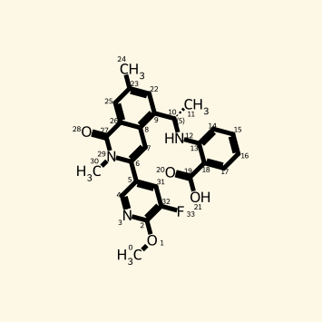 COc1ncc(-c2cc3c([C@H](C)Nc4ccccc4C(=O)O)cc(C)cc3c(=O)n2C)cc1F